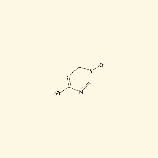 [CH2]CCC1=CCN(CC)C=N1